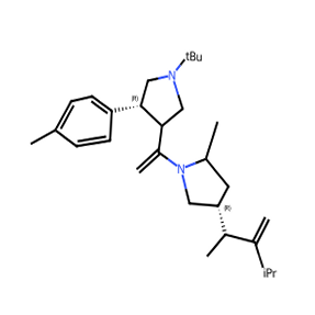 C=C(C(C)C)C(C)[C@H]1CC(C)N(C(=C)C2CN(C(C)(C)C)C[C@H]2c2ccc(C)cc2)C1